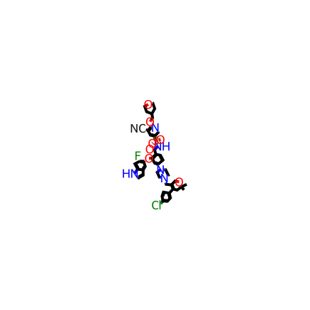 CC1(C)CC(c2ccc(Cl)cc2)=C(CN2CCN(c3ccc(C(=O)NS(=O)(=O)c4cnc(OCC5CCOCC5)c(C#N)c4)c(Oc4cc5cc[nH]c5cc4F)c3)CC2)CO1